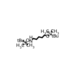 CC(C)(C)[Si](C)(C)OCCCCCNO[Si](C)(C)C(C)(C)C